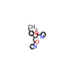 C=Cc1ccc(C(CC(=O)c2ccccn2)CC(=O)c2ccccn2)cc1